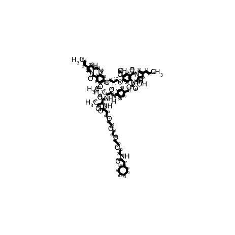 C/C=C/C1=CN2C(=O)c3cc(OC)c(OCCCOc4cc5c(cc4OC)C(=O)N4C=C(/C=C/C)C[C@H]4[C@H](O)N5C(=O)OCc4ccc(NC(=O)[C@H](C)NC(=O)[C@@H](NC(=O)CCOCCOCCOCCOCCNC(=O)CC5CCCCCC5)C(C)C)cc4)cc3N=C[C@@H]2C1